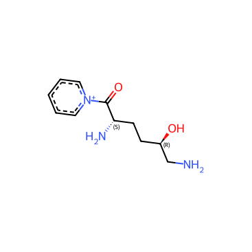 NC[C@H](O)CC[C@H](N)C(=O)[n+]1ccccc1